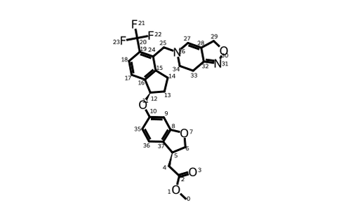 COC(=O)C[C@@H]1COc2cc(O[C@@H]3CCc4c3ccc(C(F)(F)F)c4CN3C=C4CON=C4CC3)ccc21